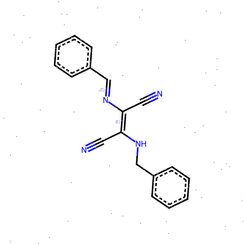 N#CC(/N=C/c1ccccc1)=C(/C#N)NCc1ccccc1